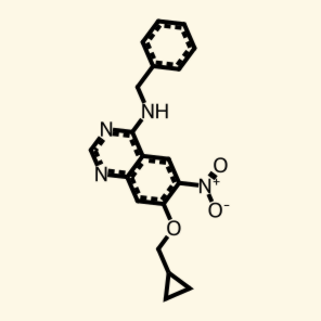 O=[N+]([O-])c1cc2c(NCc3ccccc3)ncnc2cc1OCC1CC1